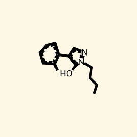 CCCCn1ncc(-c2ccccc2C)c1O